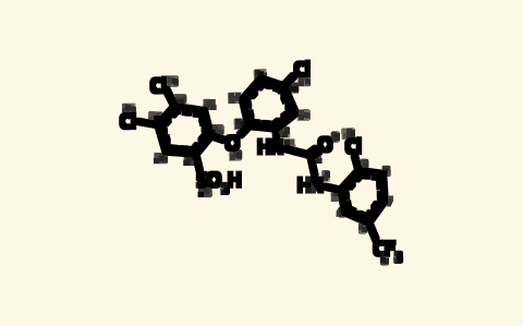 O=C(Nc1cc(C(F)(F)F)ccc1Cl)Nc1cc(Cl)ccc1Oc1cc(Cl)c(Cl)cc1S(=O)(=O)O